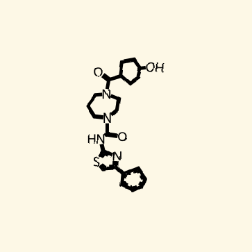 O=C(Nc1nc(-c2ccccc2)cs1)N1CCCN(C(=O)C2CCC(O)CC2)CC1